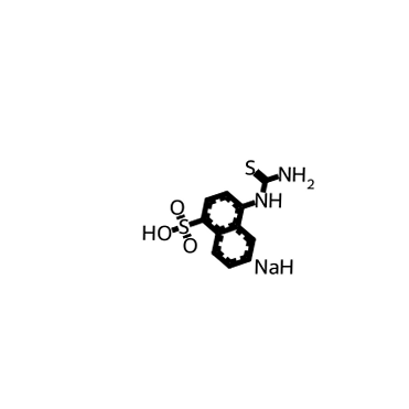 NC(=S)Nc1ccc(S(=O)(=O)O)c2ccccc12.[NaH]